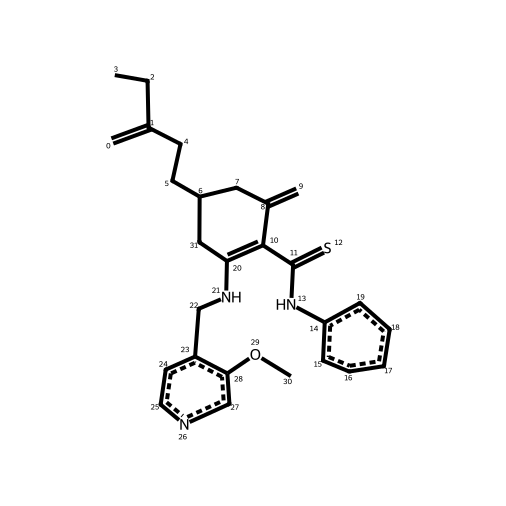 C=C(CC)CCC1CC(=C)C(C(=S)Nc2ccccc2)=C(NCc2ccncc2OC)C1